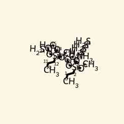 CCC[Si](OC)(OC)OC.CCC[Si](OC)(OC)OC.N.S.S.S.S.S